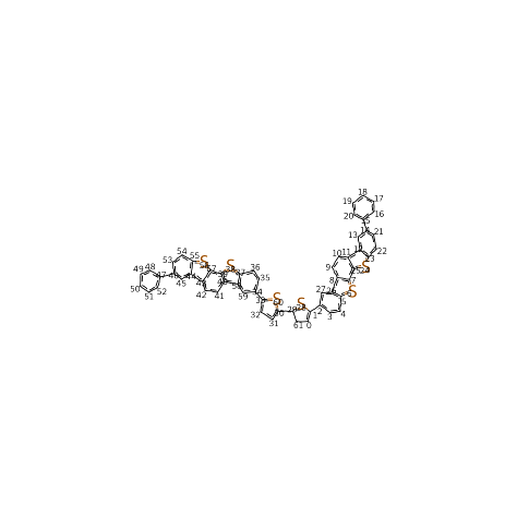 C1=C(c2ccc3sc4c(ccc5c6cc(-c7ccccc7)ccc6sc54)c3c2)SC(c2ccc(-c3ccc4sc5c(ccc6c7cc(-c8ccccc8)ccc7sc65)c4c3)s2)C1